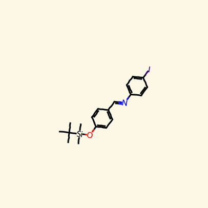 CC(C)(C)[Si](C)(C)Oc1ccc(/C=N/c2ccc(I)cc2)cc1